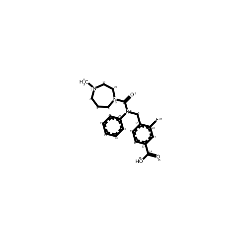 CN1CCCN(C(=O)N(Cc2ccc(C(=O)O)cc2F)c2ccccc2)CC1